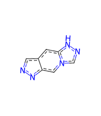 c1nnc2cn3cn[nH]c3cc1-2